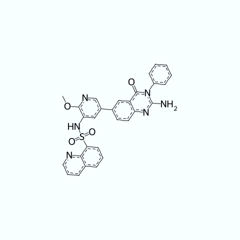 COc1ncc(-c2ccc3nc(N)n(-c4ccccc4)c(=O)c3c2)cc1NS(=O)(=O)c1cccc2cccnc12